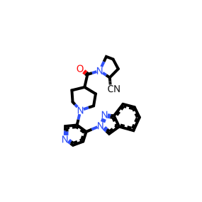 N#CC1CCCN1C(=O)C1CCN(c2cnccc2-n2cc3ccccc3n2)CC1